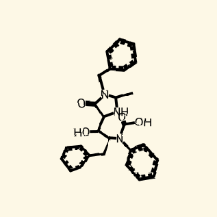 CC1NC(C(O)[C@H](Cc2ccccc2)N(C(=O)O)c2ccccc2)C(=O)N1Cc1ccccc1